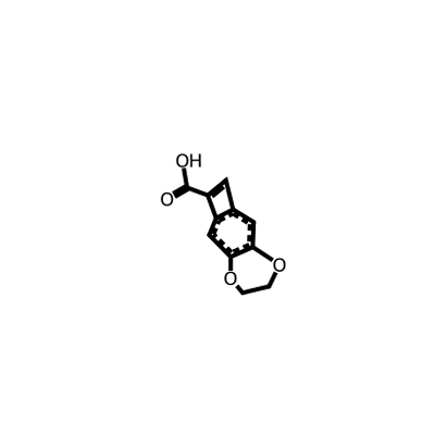 O=C(O)C1=Cc2cc3c(cc21)OCCO3